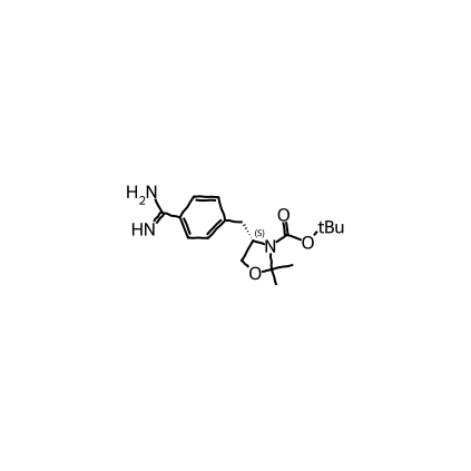 CC(C)(C)OC(=O)N1[C@@H](Cc2ccc(C(=N)N)cc2)COC1(C)C